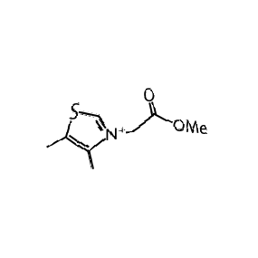 COC(=O)C[n+]1csc(C)c1C